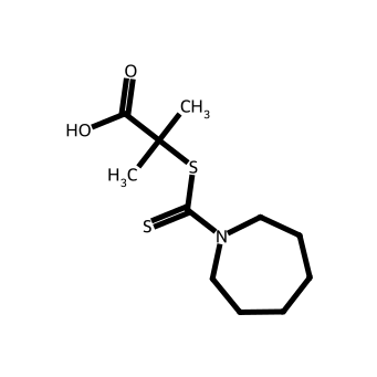 CC(C)(SC(=S)N1CCCCCC1)C(=O)O